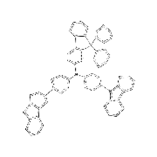 c1ccc(C2(c3ccccc3)c3ccccc3-c3ccc(N(c4ccc(-c5ccc6sc7ccccc7c6c5)cc4)c4ccc(-n5c6ccccc6c6ccccc65)cc4)cc32)cc1